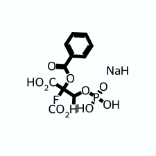 O=C(OC(F)(C(=O)O)C(OP(=O)(O)O)C(=O)O)c1ccccc1.[NaH]